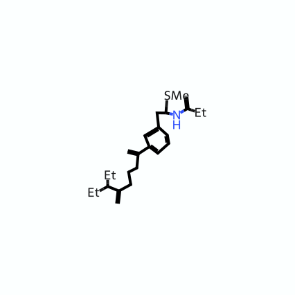 C=C(CC)NC(Cc1cccc(C(=C)CCCC(=C)C(CC)CC)c1)SC